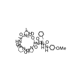 COc1ccc(NC(=O)N[C@@H](Cc2ccccc2)C(=O)N[C@H]2COC(=O)[C@@H]3C[C@H](C)CN3C(=O)[C@H](C)NC(=O)[C@@H]3CCCCN3C(=O)[C@@H]3CCCN3C2=O)cc1